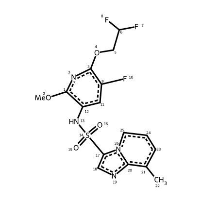 COc1nc(OCC(F)F)c(F)cc1NS(=O)(=O)c1cnc2c(C)cccn12